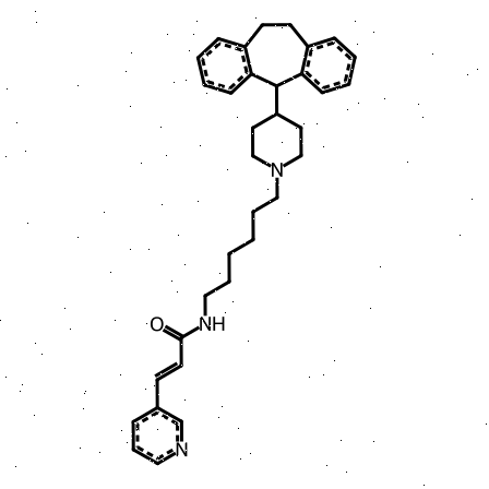 O=C(C=Cc1cccnc1)NCCCCCCN1CCC(C2c3ccccc3CCc3ccccc32)CC1